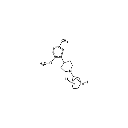 COc1ccc(C)cc1C1CCN(C2C[C@H]3CC[C@H]2C3)CC1